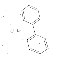 [Li].[Li].c1ccc(-c2ccccc2)cc1